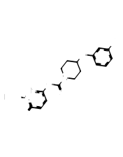 Cn1nc(OC(=O)N2CCC(Oc3cccc(Cl)c3)CC2)ccc1=O